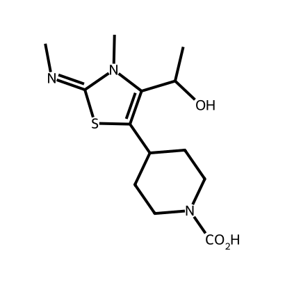 CN=c1sc(C2CCN(C(=O)O)CC2)c(C(C)O)n1C